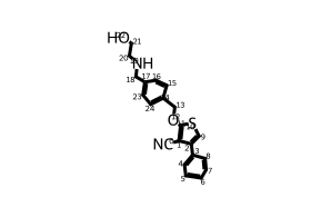 N#Cc1c(-c2ccccc2)csc1OCc1ccc(CNCCO)cc1